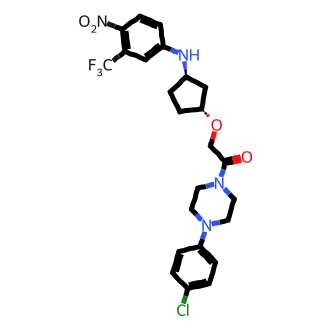 O=C(CO[C@@H]1CC[C@@H](Nc2ccc([N+](=O)[O-])c(C(F)(F)F)c2)C1)N1CCN(c2ccc(Cl)cc2)CC1